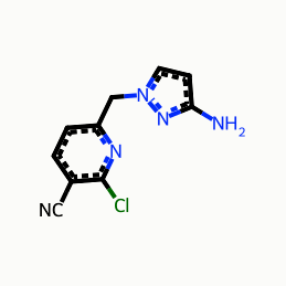 N#Cc1ccc(Cn2ccc(N)n2)nc1Cl